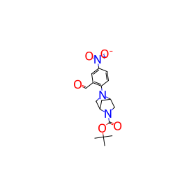 CC(C)(C)OC(=O)N1CC2CC1CN2c1ccc([N+](=O)[O-])cc1C=O